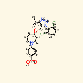 COC(=O)c1ccc(N2CCCC(OCc3c(C(C)C)nnn3-c3c(Cl)cccc3Cl)CC2)cc1